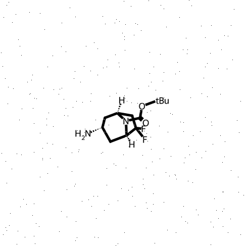 CC(C)(C)OC(=O)N1[C@H]2C[C@@H](N)C[C@@H]1C(F)(F)C2